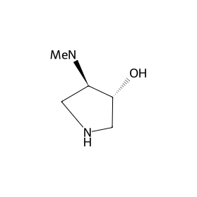 CN[C@@H]1CNC[C@H]1O